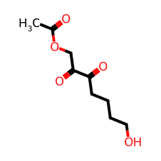 CC(=O)OCC(=O)C(=O)CCCCO